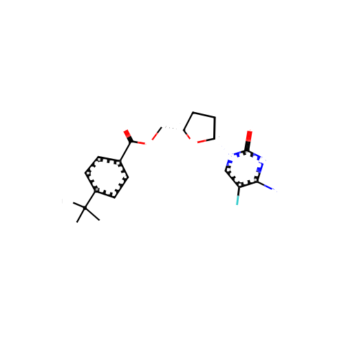 CC(C)(C)c1ccc(C(=O)OC[C@@H]2CC[C@H](n3cc(F)c(N)nc3=O)O2)cc1